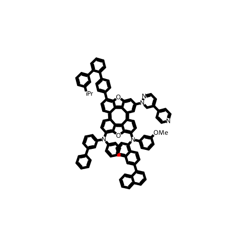 COc1cccc(N(c2cccc3cc(-c4cccc5ccccc45)ccc23)c2ccc3c4cc(N5CC(c6ccncc6)=CC=N5)cc5oc6c(-c7ccc(-c8ccccc8-c8cccc(C(C)C)c8)cc7)ccc(c7ccc(N(c8ccccc8)c8cccc(-c9ccccc9)c8)c8oc2c3c87)c6c54)c1